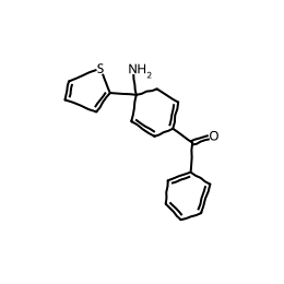 NC1(c2cccs2)C=CC(C(=O)c2ccccc2)=CC1